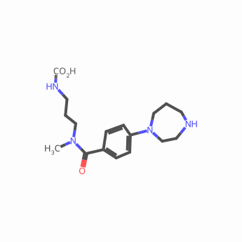 CN(CCCNC(=O)O)C(=O)c1ccc(N2CCCNCC2)cc1